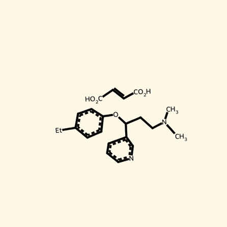 CCc1ccc(OC(CCN(C)C)c2cccnc2)cc1.O=C(O)C=CC(=O)O